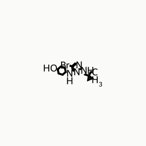 CCC1(CNc2ncc(Br)c(N[C@H]3CC[C@H](O)CC3)n2)CC1